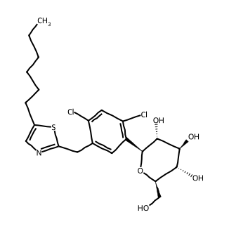 CCCCCCc1cnc(Cc2cc([C@@H]3O[C@H](CO)[C@@H](O)[C@H](O)[C@H]3O)c(Cl)cc2Cl)s1